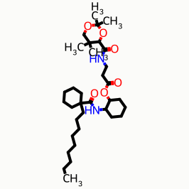 CCCCCCCCCC1(C(=O)NC2CCCCC2OC(=O)CCNC(=O)C2OC(C)(C)OCC2(C)C)CCCCC1